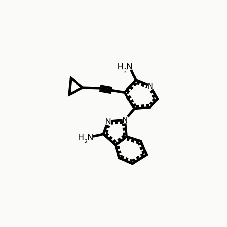 Nc1nccc(-n2nc(N)c3ccccc32)c1C#CC1CC1